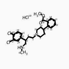 CNCC(CCN1CCC(c2ccccc2C(=O)OC)CC1)c1ccc(Cl)c(Cl)c1.Cl